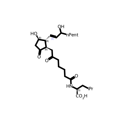 CCCCCC(O)/C=C/[C@H]1[C@H](O)CC(=O)[C@@H]1CC(=O)CCCCC(=O)N[C@@H](CC(C)C)C(=O)O